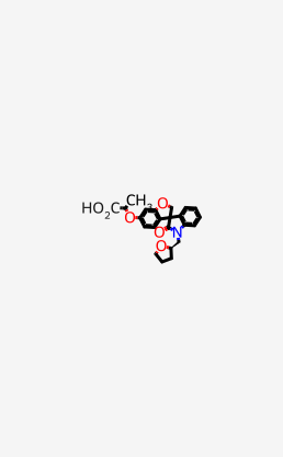 CC(Oc1ccc2c(c1)OCC21C(=O)N(C[C@H]2CCCO2)c2ccccc21)C(=O)O